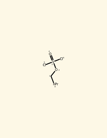 CCCC[O][V](=[O])([Cl])[Cl]